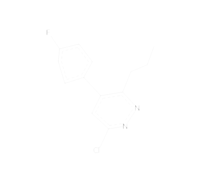 CCCc1nnc(Cl)cc1-c1ccc(F)cc1